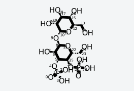 O=P(O)(O)O[C@@H]1[C@@H](O)[C@@H](O[C@H]2O[C@H](CO)[C@@H](O)[C@H](O)[C@H]2O)O[C@H](CO)[C@H]1OP(=O)(O)O